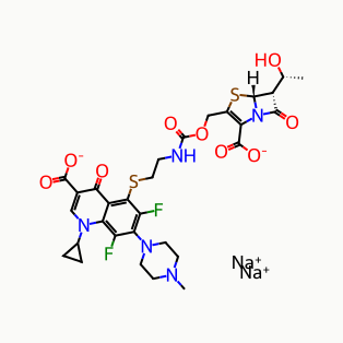 C[C@@H](O)[C@@H]1C(=O)N2C(C(=O)[O-])=C(COC(=O)NCCSc3c(F)c(N4CCN(C)CC4)c(F)c4c3c(=O)c(C(=O)[O-])cn4C3CC3)S[C@H]12.[Na+].[Na+]